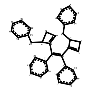 C1=C(C(=C(C2=CCC2Cc2ccccc2)c2ccccc2)c2ccccc2)C(Cc2ccccc2)C1